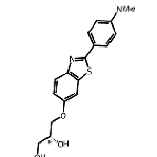 CNc1ccc(-c2nc3ccc(OC[C@H](O)CO)cc3s2)cc1